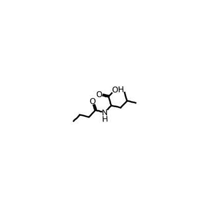 CCCC(=O)NC(CC(C)C)C(=O)O